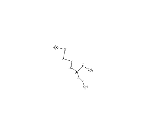 COCCON(CCO)OC